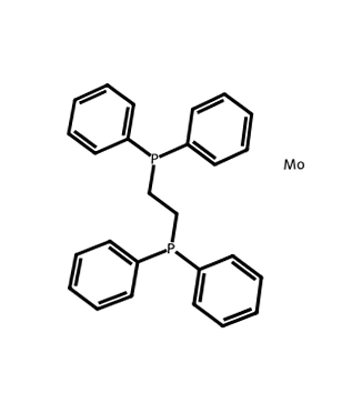 [Mo].c1ccc(P(CCP(c2ccccc2)c2ccccc2)c2ccccc2)cc1